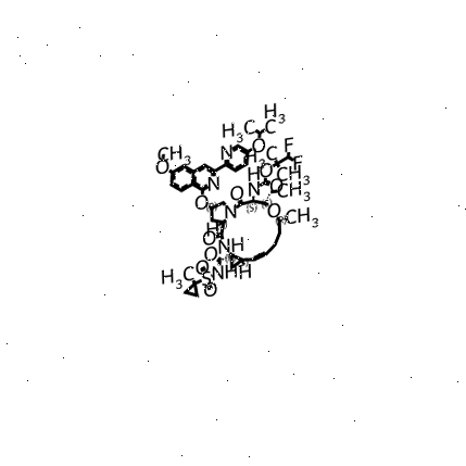 CC[C@@H]1O[C@H](C)CCC=C[C@@H]2C[C@@]2(C(=O)NS(=O)(=O)C2(C)CC2)NC(=O)[C@@H]2C[C@@H](Oc3nc(-c4ccc(OC(C)C)cn4)cc4cc(OC)ccc34)CN2C(=O)[C@H]1NC(=O)OC(C)(C)C(F)F